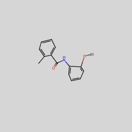 CCOc1ccccc1NC(=O)c1ccccc1C